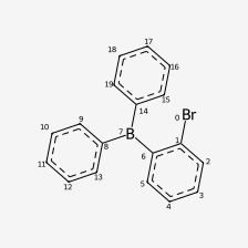 Brc1ccccc1B(c1ccccc1)c1ccccc1